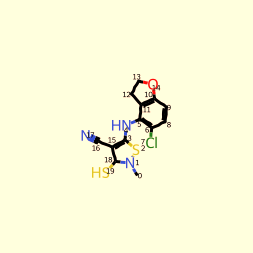 CN1SC(Nc2c(Cl)ccc3c2CCO3)=C(C#N)C1S